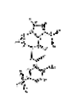 C=C(CN(C(=O)c1c(C(F)F)nn(C)c1F)C1CC1)c1cc(S(C)(=O)=O)ccc1Cl